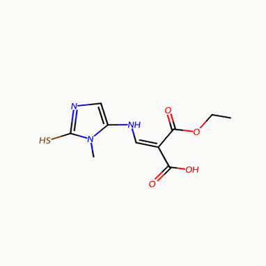 CCOC(=O)C(=CNc1cnc(S)n1C)C(=O)O